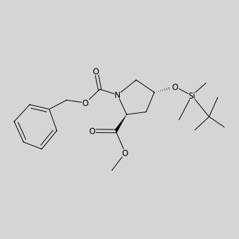 COC(=O)[C@@H]1C[C@@H](O[Si](C)(C)C(C)(C)C)CN1C(=O)OCc1ccccc1